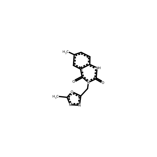 Cc1ccc2[nH]c(=O)n(Cc3nnc(C)o3)c(=O)c2c1